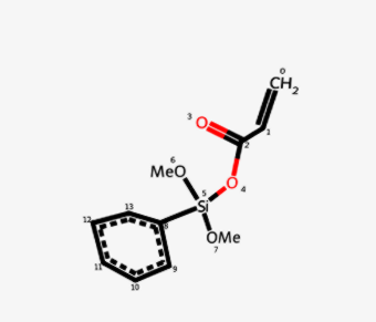 C=CC(=O)O[Si](OC)(OC)c1ccccc1